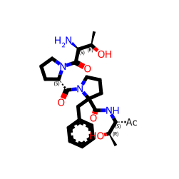 CC(=O)[C@@H](NC(=O)C1(Cc2ccccc2)CCCN1C(=O)[C@@H]1CCCN1C(=O)[C@@H](N)[C@@H](C)O)[C@@H](C)O